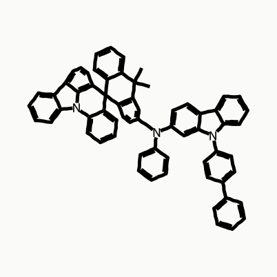 CC1(C)c2ccccc2C2(c3ccccc3-n3c4ccccc4c4cccc2c43)c2ccc(N(c3ccccc3)c3ccc4c5ccccc5n(-c5ccc(-c6ccccc6)cc5)c4c3)cc21